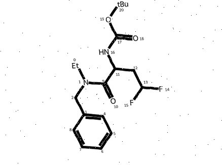 CCN(Cc1ccccc1)C(=O)C(CC(F)F)NC(=O)OC(C)(C)C